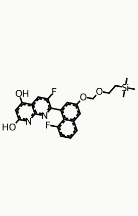 C[Si](C)(C)CCOCOc1cc(-c2nc3nc(O)cc(O)c3cc2F)c2c(F)cccc2c1